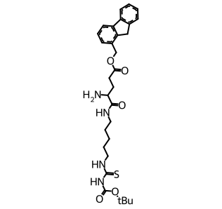 CC(C)(C)OC(=O)NC(=S)NCCCCCNC(=O)C(N)CCC(=O)OCc1cccc2c1Cc1ccccc1-2